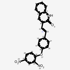 O=c1[nH]c2ccccc2cc1/C=C/c1ccc(Oc2ccc([N+](=O)[O-])cc2[N+](=O)[O-])cc1